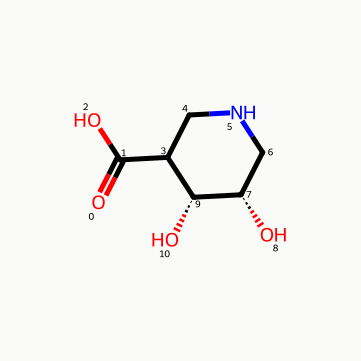 O=C(O)C1CNC[C@H](O)[C@@H]1O